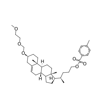 COCCOCO[C@H]1CC[C@@]2(C)C(=CC[C@H]3[C@@H]4CC[C@H]([C@H](C)CCCOS(=O)(=O)c5ccc(C)cc5)[C@@]4(C)CC[C@@H]32)C1